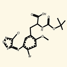 COc1cc(Br)c(N=c2ssnc2Cl)cc1CC(NC(=O)OC(C)(C)C)C(=O)O